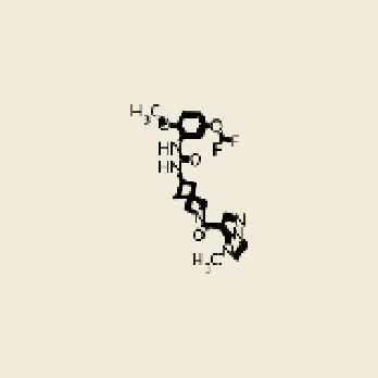 COc1ccc(OC(F)F)cc1NC(=O)NC1CC2(C1)CN(C(=O)c1cnn3ccn(C)c13)C2